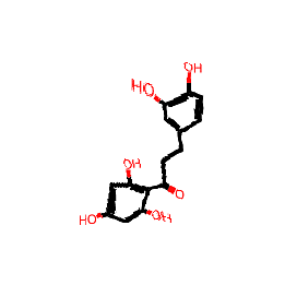 O=C(CCc1ccc(O)c(O)c1)c1c(O)cc(O)cc1O